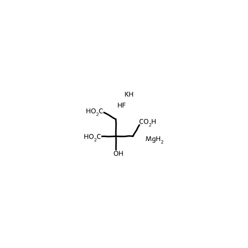 F.O=C(O)CC(O)(CC(=O)O)C(=O)O.[KH].[MgH2]